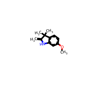 C=C1Nc2cc(OC)ccc2C1(C)C